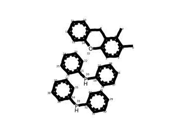 Cc1ccc2c(c1C)Cc1ccccc1O2.c1ccc(Pc2ccccc2)cc1.c1ccc(Pc2ccccc2)cc1